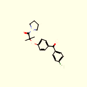 CC(C)(Oc1ccc(C(=O)c2ccc(Cl)cc2)cc1)C(=O)N1CCCC1